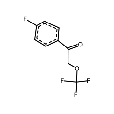 O=C(COC(F)(F)F)c1ccc(F)cc1